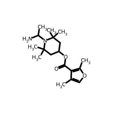 Cc1coc(C)c1C(=O)OC1CC(C)(C)N(C(C)N)C(C)(C)C1